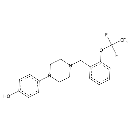 Oc1ccc(N2CCN(Cc3ccccc3OC(F)(F)C(F)(F)F)CC2)cc1